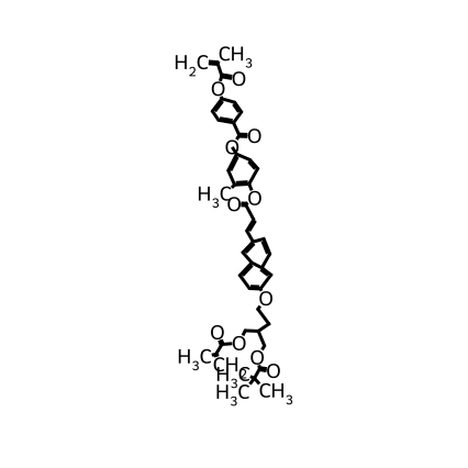 C=C(C)C(=O)OCC(CCOc1ccc2cc(/C=C/C(=O)Oc3ccc(OC(=O)c4ccc(OC(=O)C(=C)C)cc4)cc3C)ccc2c1)COC(=O)C(C)(C)C